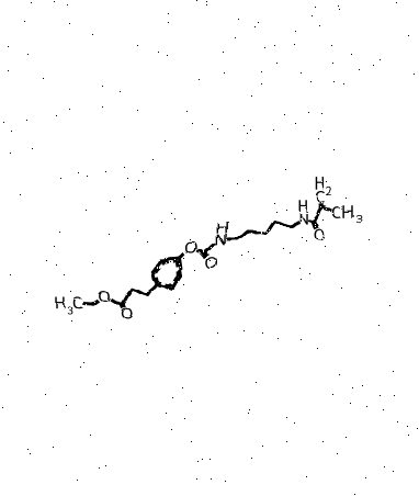 C=C(C)C(=O)NCCCCCNC(=O)Oc1ccc(CCC(=O)OCC)cc1